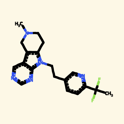 CN1CCc2c(c3cncnc3n2CCc2ccc(C(C)(F)F)nc2)C1